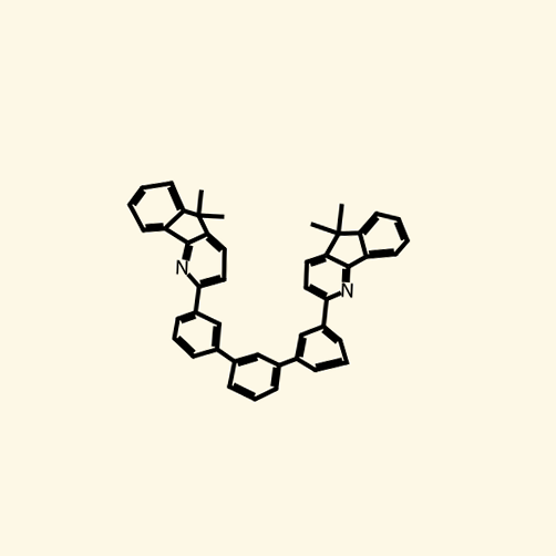 CC1(C)c2ccccc2-c2nc(-c3cccc(-c4cccc(-c5cccc(-c6ccc7c(n6)-c6ccccc6C7(C)C)c5)c4)c3)ccc21